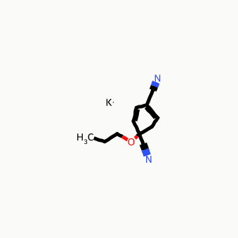 CCCOC1(C#N)C=CC(C#N)=CC1.[K]